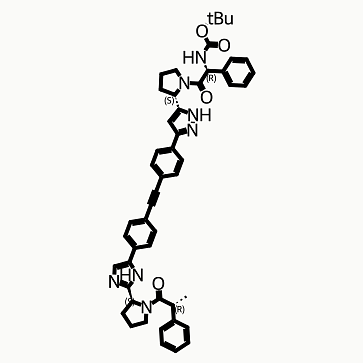 C[C@@H](C(=O)N1CCC[C@H]1c1ncc(-c2ccc(C#Cc3ccc(-c4cc([C@@H]5CCCN5C(=O)[C@H](NC(=O)OC(C)(C)C)c5ccccc5)[nH]n4)cc3)cc2)[nH]1)c1ccccc1